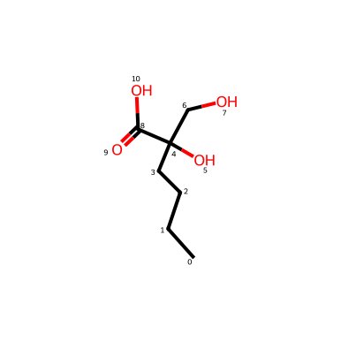 CCCCC(O)(CO)C(=O)O